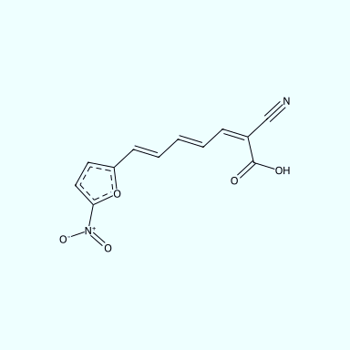 N#CC(=CC=CC=Cc1ccc([N+](=O)[O-])o1)C(=O)O